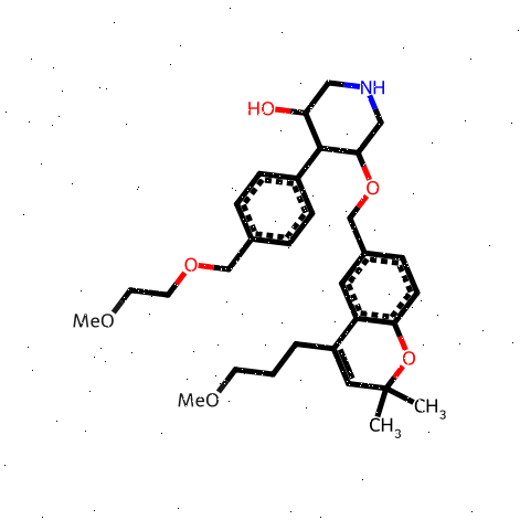 COCCCC1=CC(C)(C)Oc2ccc(COC3CNCC(O)C3c3ccc(COCCOC)cc3)cc21